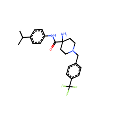 CC(C)c1ccc(NC(=O)C2(N)CCN(Cc3ccc(C(F)(F)F)cc3)CC2)cc1